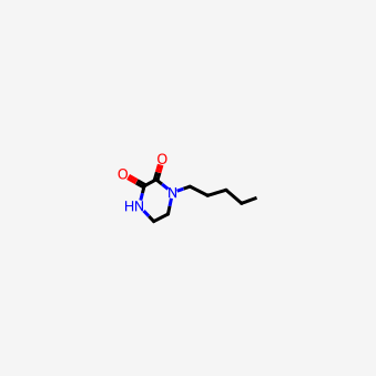 CCCCCN1CCNC(=O)C1=O